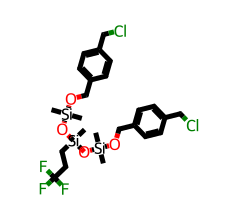 C[Si](C)(OCc1ccc(CCl)cc1)O[Si](C)(CCC(F)(F)F)O[Si](C)(C)OCc1ccc(CCl)cc1